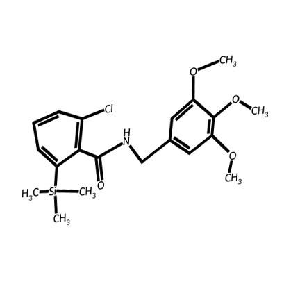 COc1cc(CNC(=O)c2c(Cl)cccc2[Si](C)(C)C)cc(OC)c1OC